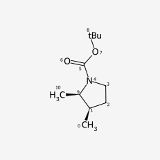 C[C@@H]1CCN(C(=O)OC(C)(C)C)[C@@H]1C